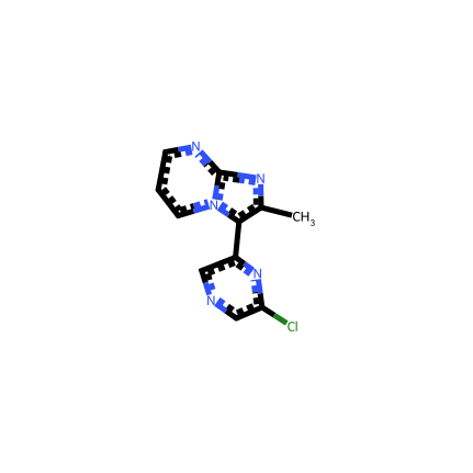 Cc1nc2ncccn2c1-c1cncc(Cl)n1